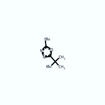 CC(C)(C)c1nnc(C(C)(C)C(C)(C)C)o1